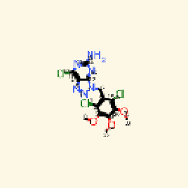 COc1c(Cl)c(Cn2nnc3c(Cl)nc(N)nc32)c(Cl)c(OC)c1OC